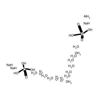 O.O.O.O.O.O.O.O.O.O.O.O.O.O.O=P(O)(O)O.O=S(=O)(O)O.[AlH3].[NaH].[NaH].[NaH]